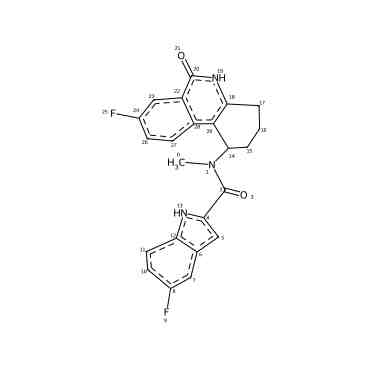 CN(C(=O)c1cc2cc(F)ccc2[nH]1)C1CCCc2[nH]c(=O)c3cc(F)ccc3c21